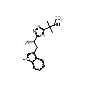 CC(C)(NC(=O)O)c1nnc(C(N)Cc2c[nH]c3ccccc23)o1